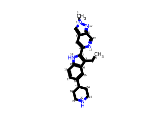 CCc1c(-c2cc3cn(C)nc3cn2)[nH]c2ccc(C3CCNCC3)cc12